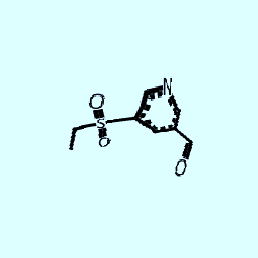 CCS(=O)(=O)c1cncc(C=O)c1